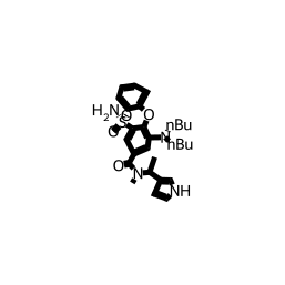 CCCCN(CCCC)c1cc(C(=O)N(C)C(C)c2cc[nH]c2)cc(S(N)(=O)=O)c1Oc1ccccc1